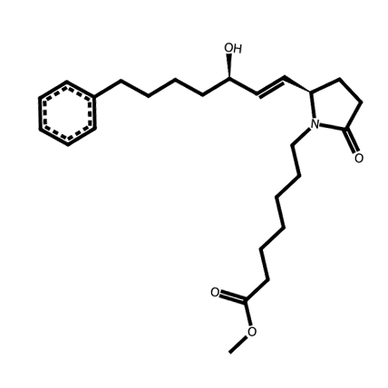 COC(=O)CCCCCCN1C(=O)CC[C@@H]1C=C[C@H](O)CCCCc1ccccc1